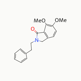 COc1ccc2c(c1OC)C(=O)N(CCc1ccccc1)C2